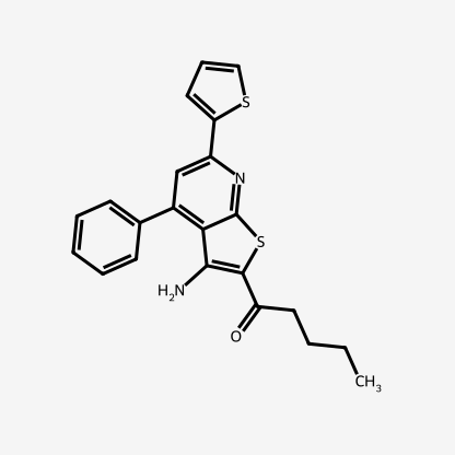 CCCCC(=O)c1sc2nc(-c3cccs3)cc(-c3ccccc3)c2c1N